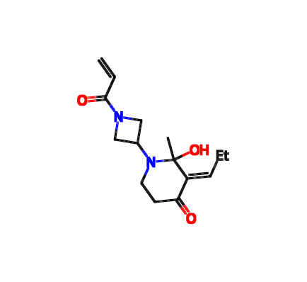 C=CC(=O)N1CC(N2CCC(=O)/C(=C/CC)C2(C)O)C1